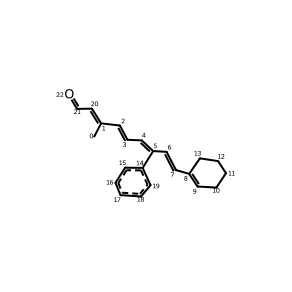 CC(/C=C/C=C(/C=C/C1=CCCCC1)c1ccccc1)=C\C=O